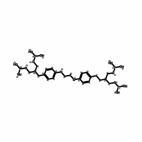 OP(O)OCN(CCc1ccc(OSCOc2ccc(CN(COP(O)O)COP(O)O)cc2)cc1)COP(O)O